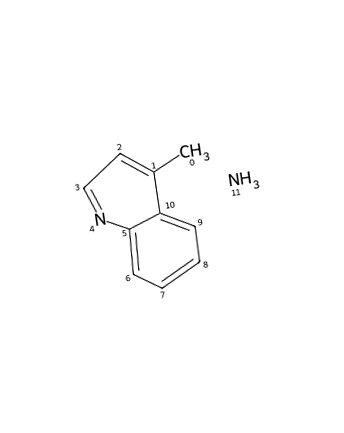 Cc1ccnc2ccccc12.N